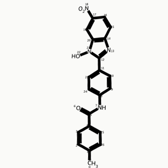 Cc1ccc(C(=O)Nc2ccc(-c3nc4ccc([N+](=O)[O-])cc4n3O)cc2)cc1